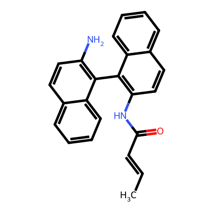 C/C=C/C(=O)Nc1ccc2ccccc2c1-c1c(N)ccc2ccccc12